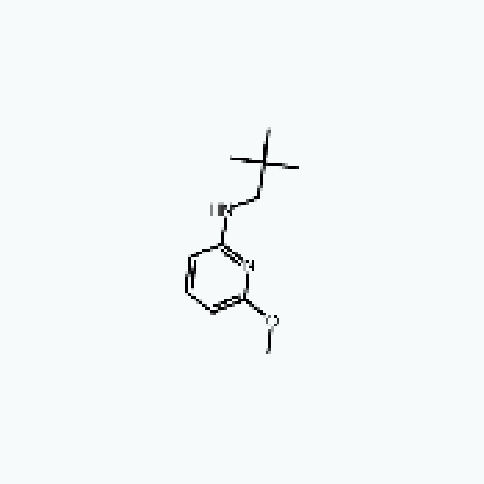 COc1cccc(NCC(C)(C)C)n1